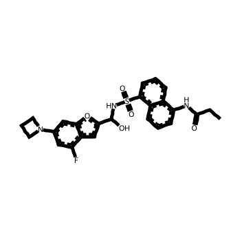 CCC(=O)Nc1cccc2c(S(=O)(=O)NC(O)c3cc4c(F)cc(N5CCC5)cc4o3)cccc12